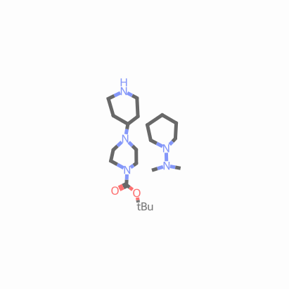 CC(C)(C)OC(=O)N1CCN(C2CCNCC2)CC1.CN(C)N1CCCCC1